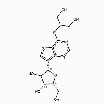 OCC(CO)Nc1ncnc2c1ncn2[C@@H]1O[C@H](CO)[C@H](O)C1O